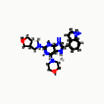 C[C@@H]1COCCN1c1nc(N2CC3COCC3C2)nc2[nH]c(-c3cccc4[nH]ccc34)nc12